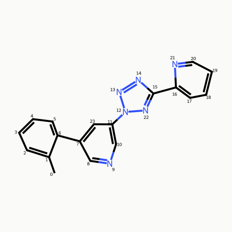 Cc1ccccc1-c1cncc(-n2nnc(-c3ccccn3)n2)c1